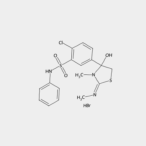 Br.CN=C1SCC(O)(c2ccc(Cl)c(S(=O)(=O)Nc3ccccc3)c2)N1C